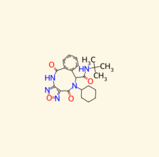 CC(C)(C)NC(=O)C1c2ccccc2C(=O)Nc2nonc2C(=O)N1C1CCCCC1